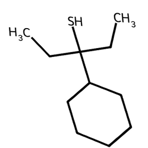 CCC(S)(CC)C1CCCCC1